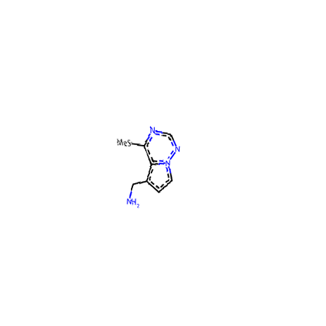 CSc1ncnn2ccc(CN)c12